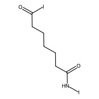 O=C(I)CCCCCC(=O)NI